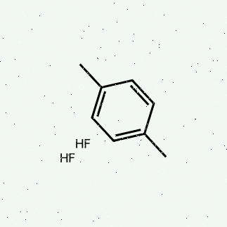 Cc1ccc(C)cc1.F.F